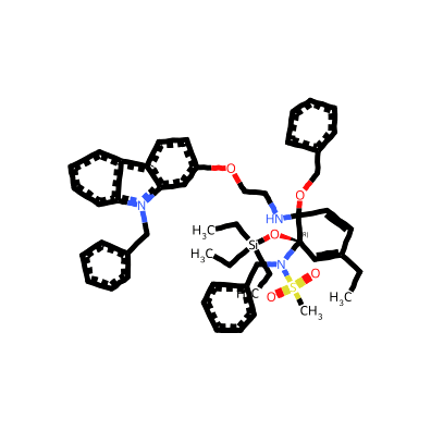 CCC1=C[C@](O[Si](CC)(CC)CC)(N(Cc2ccccc2)S(C)(=O)=O)C(NCCOc2ccc3c4ccccc4n(Cc4ccccc4)c3c2)(OCc2ccccc2)C=C1